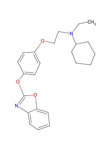 CCN(CCOc1ccc(Oc2nc3ccccc3o2)cc1)C1CCCCC1